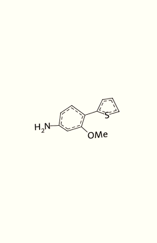 COc1cc(N)ccc1-c1cccs1